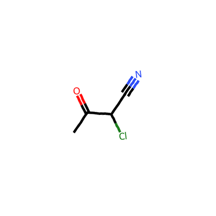 CC(=O)C(Cl)C#N